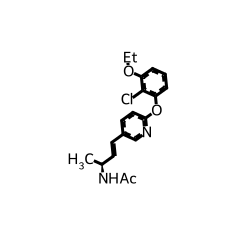 CCOc1cccc(Oc2ccc(/C=C/[C@H](C)NC(C)=O)cn2)c1Cl